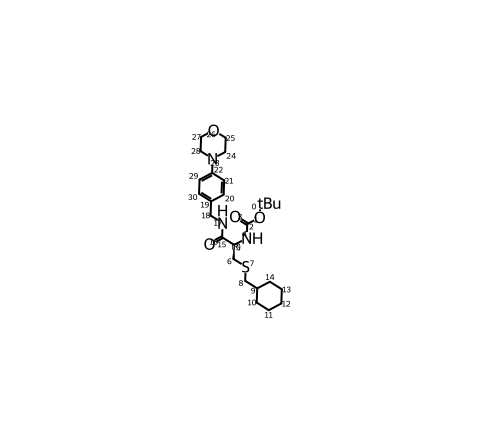 CC(C)(C)OC(=O)N[C@@H](CSCC1CCCCC1)C(=O)NCc1ccc(N2CCOCC2)cc1